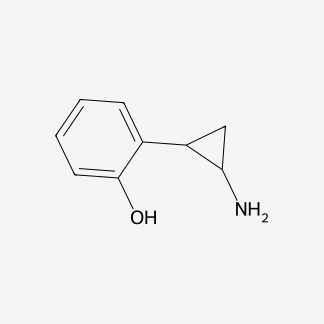 NC1CC1c1ccccc1O